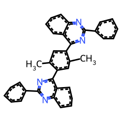 Cc1cc(-c2nc(-c3ccccc3)nc3ccccc23)c(C)cc1-c1nc(-c2ccccc2)nc2ccccc12